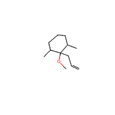 C=CCC1(OC)C(C)CCCC1C